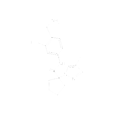 NCc1ccc(NC(=O)C2(n3cc(F)cn3)CCCC2)cc1C(F)(F)F